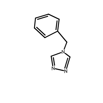 c1ccc(Cn2cnnc2)cc1